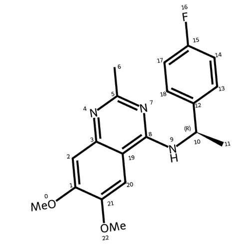 COc1cc2nc(C)nc(N[C@H](C)c3ccc(F)cc3)c2cc1OC